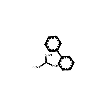 CCCCCCCCP(CCCCCCCC)CCCCCCCC.c1ccc(-c2ccccc2)cc1